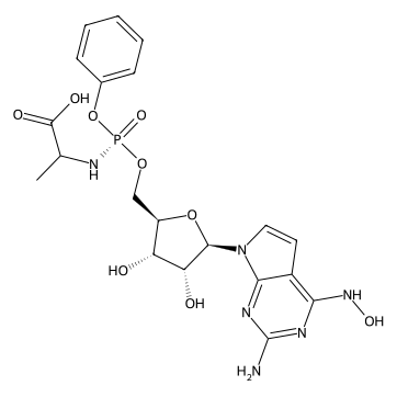 CC(N[P@](=O)(OC[C@H]1O[C@@H](n2ccc3c(NO)nc(N)nc32)[C@H](O)[C@@H]1O)Oc1ccccc1)C(=O)O